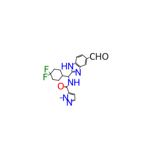 Cn1nccc1C(=O)NC(c1nc2cc(C=O)ccc2[nH]1)C1CCC(F)(F)CC1